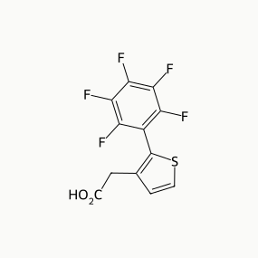 O=C(O)Cc1ccsc1-c1c(F)c(F)c(F)c(F)c1F